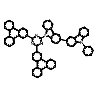 c1ccc(-n2c3ccccc3c3cc(-c4ccc5c(c4)c4ccccc4n5-c4nc(-c5ccc6c7ccccc7c7ccccc7c6c5)nc(-c5ccc6c7ccccc7c7ccccc7c6c5)n4)ccc32)cc1